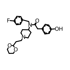 O=C(Cc1ccc(O)cc1)N(Cc1ccc(F)cc1)C1CCN(CCC2OCCCO2)CC1